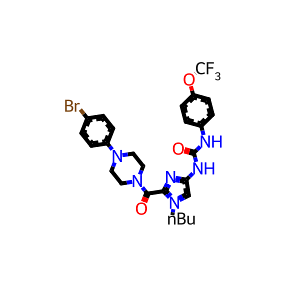 CCCCn1cc(NC(=O)Nc2ccc(OC(F)(F)F)cc2)nc1C(=O)N1CCN(c2ccc(Br)cc2)CC1